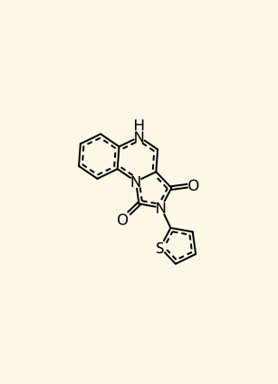 O=c1c2c[nH]c3ccccc3n-2c(=O)n1-c1cccs1